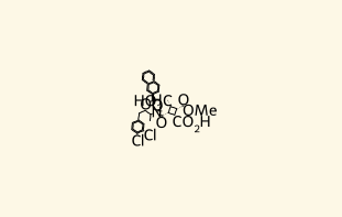 COC(=O)[C@@H]1C(C(=O)O)[C@H](C(=O)NC(C)C(Cc2ccc(Cl)c(Cl)c2)OC(=O)c2ccc3ccccc3c2)[C@@H]1C(=O)O